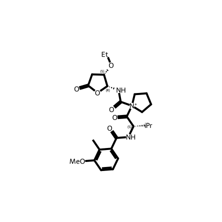 CCO[C@H]1CC(=O)O[C@H]1NC(=O)[N+]1(C(=O)[C@@H](NC(=O)c2cccc(OC)c2C)C(C)C)CCCC1